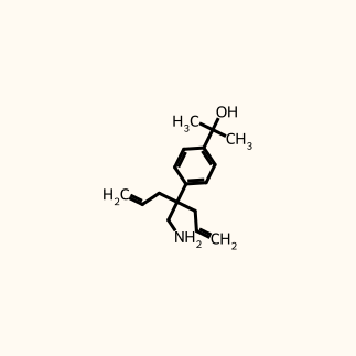 C=CCC(CN)(CC=C)c1ccc(C(C)(C)O)cc1